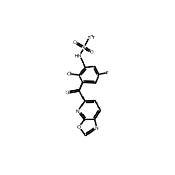 CCCS(=O)(=O)Nc1cc(F)cc(C(=O)c2ccc3ncoc3n2)c1Cl